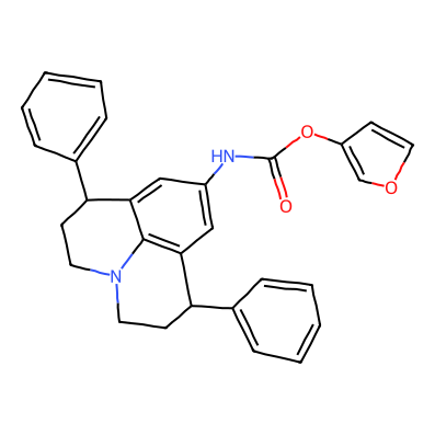 O=C(Nc1cc2c3c(c1)C(c1ccccc1)CCN3CCC2c1ccccc1)Oc1ccoc1